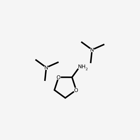 CN(C)C.CN(C)C.NC1OCCO1